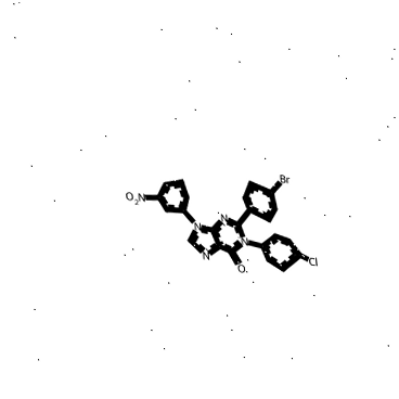 O=c1c2ncn(-c3cccc([N+](=O)[O-])c3)c2nc(-c2ccc(Br)cc2)n1-c1ccc(Cl)cc1